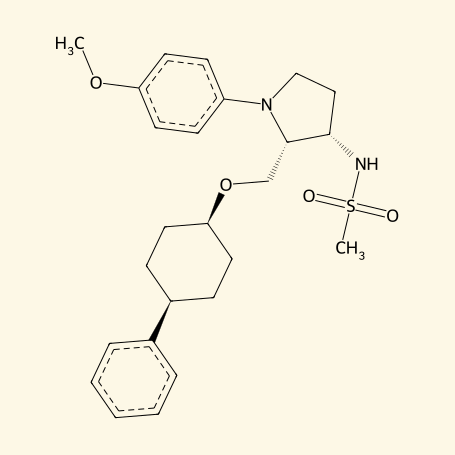 COc1ccc(N2CC[C@H](NS(C)(=O)=O)[C@@H]2CO[C@H]2CC[C@@H](c3ccccc3)CC2)cc1